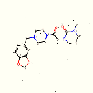 CN1CCCN(CC(=O)N2CCN(Cc3ccc4c(c3)OCO4)CC2)C1=O